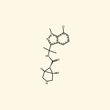 Cn1nc(C(C)(C)NC(=O)[C@H]2[C@@H]3CNC[C@@H]32)c2cccc(Cl)c21